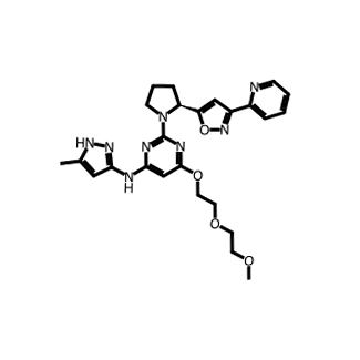 COCCOCCOc1cc(Nc2cc(C)[nH]n2)nc(N2CCC[C@H]2c2cc(-c3ccccn3)no2)n1